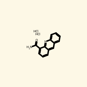 Cl.Cl.NC(=O)c1cccc2cc3ccccc3nc12